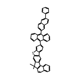 CC1(C)c2cc3sc4cc(-c5c6ccccc6c(-c6ccc7cc(-c8ccccc8)ccc7c6)c6ccccc56)ccc4c3cc2-c2c1ccc1ccccc21